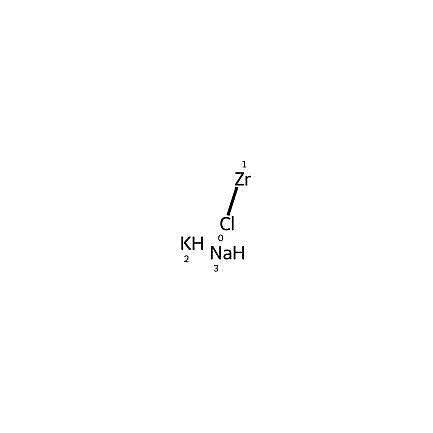 [Cl][Zr].[KH].[NaH]